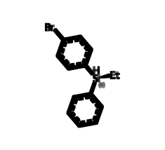 CC[Si@@H](c1ccccc1)c1ccc(Br)cc1